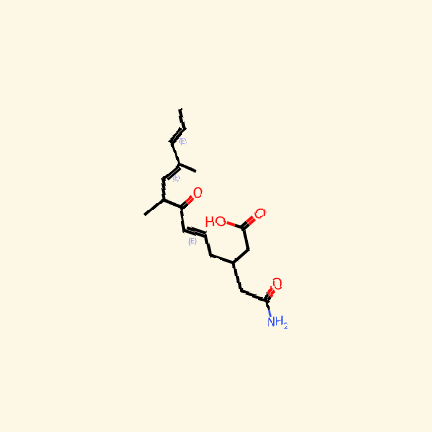 C/C=C/C(C)=C/C(C)C(=O)/C=C/CC(CC(N)=O)CC(=O)O